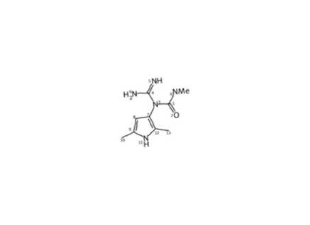 CNC(=O)N(C(=N)N)c1cc(C)[nH]c1C